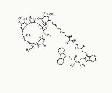 COc1cc2cc(c1Cl)N(C)C(=O)C[C@H](OC(=O)[C@H](C)N(C)C(=O)CCOCCOCCNC(=S)NCCNC(=O)CCn1c(CN(C)N(C)C(=O)OCC3c4ccccc4-c4ccccc43)cc3ccccc31)[C@]1(C)OC1[C@H](C)[C@@H]1C[C@@H](NC(=O)O1)[C@H](OC)/C=C/C=C(\C)C2